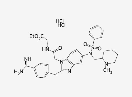 CCOC(=O)CNC(=O)Cn1c(Cc2ccc(C(=N)N)cc2)nc2cc(N(CC3CCCCN3C)S(=O)(=O)c3ccccc3)ccc21.Cl.Cl